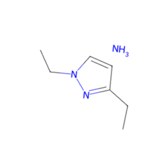 CCc1ccn(CC)n1.N